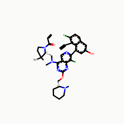 C#Cc1c(F)ccc2cc(O)cc(-c3ncc4c(N(C)C[C@H]5N(C(=O)C=C)CCC5(C)C#N)nc(OC[C@H]5CCCCN5C)nc4c3F)c12